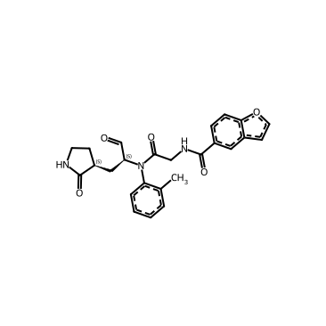 Cc1ccccc1N(C(=O)CNC(=O)c1ccc2occc2c1)[C@H](C=O)C[C@@H]1CCNC1=O